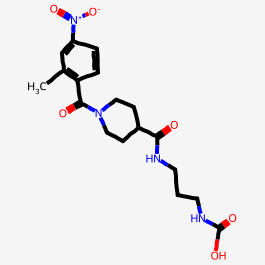 Cc1cc([N+](=O)[O-])ccc1C(=O)N1CCC(C(=O)NCCCNC(=O)O)CC1